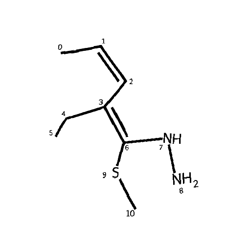 C/C=C\C(CC)=C(/NN)SC